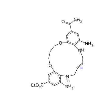 CCOC(=O)c1cc(N)c2c(c1)OCCCOc1cc(C(N)=O)cc(N)c1NC/C=C/CN2